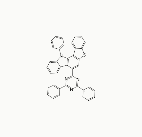 c1ccc(-c2nc(-c3ccccc3)nc(-c3cc4sc5ccccc5c4c4c3c3ccccc3n4-c3ccccc3)n2)cc1